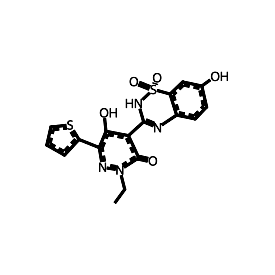 CCn1nc(-c2cccs2)c(O)c(C2=Nc3ccc(O)cc3S(=O)(=O)N2)c1=O